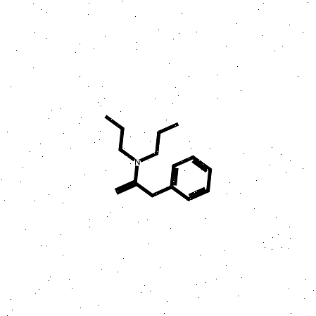 C=C(Cc1ccccc1)N(CCC)CCC